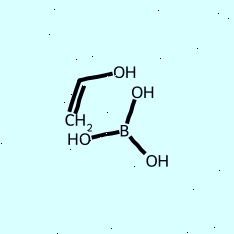 C=CO.OB(O)O